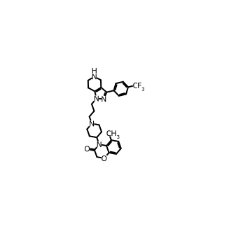 Cc1cccc2c1N(C1CCN(CCCn3nc(-c4ccc(C(F)(F)F)cc4)c4c3CCNC4)CC1)C(=O)CO2